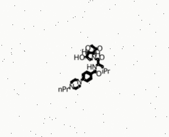 CCCN1CCN(c2ccc(C(=O)NC(CC(C)C)C(=O)N3C[C@@H](O)[C@H]4OCC(=O)[C@H]43)cc2)CC1